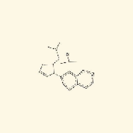 CN(C)CC1=CC=CC1c1ccc2ccccc2c1C(C)(C)O